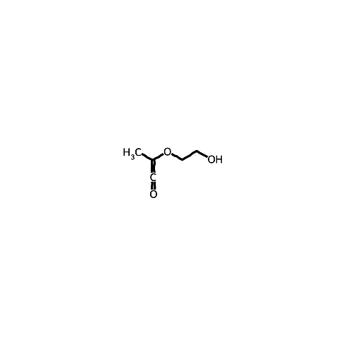 CC(=C=O)OCCO